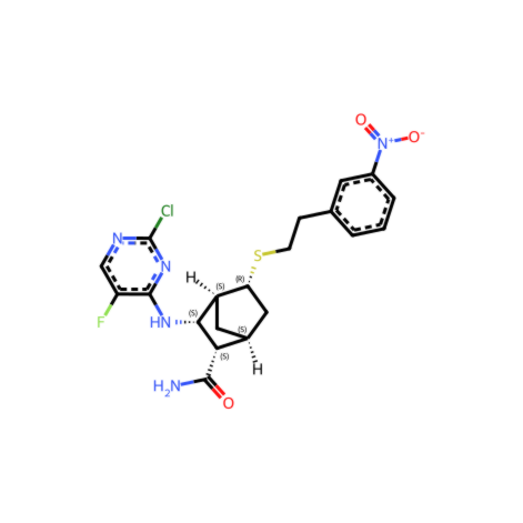 NC(=O)[C@H]1[C@H]2C[C@@H]([C@H]1Nc1nc(Cl)ncc1F)[C@H](SCCc1cccc([N+](=O)[O-])c1)C2